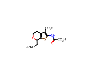 CC(=O)NCC1OCCc2c1sc(NC(=O)C(=O)O)c2C(=O)O